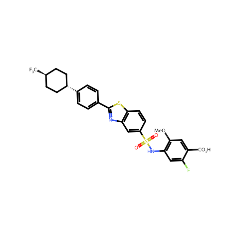 COc1cc(C(=O)O)c(F)cc1NS(=O)(=O)c1ccc2sc(-c3ccc([C@H]4CC[C@H](C(F)(F)F)CC4)cc3)nc2c1